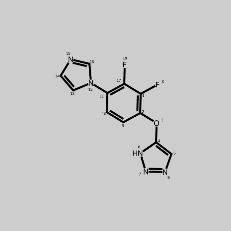 Fc1c(Oc2cnn[nH]2)ccc(-n2ccnc2)c1F